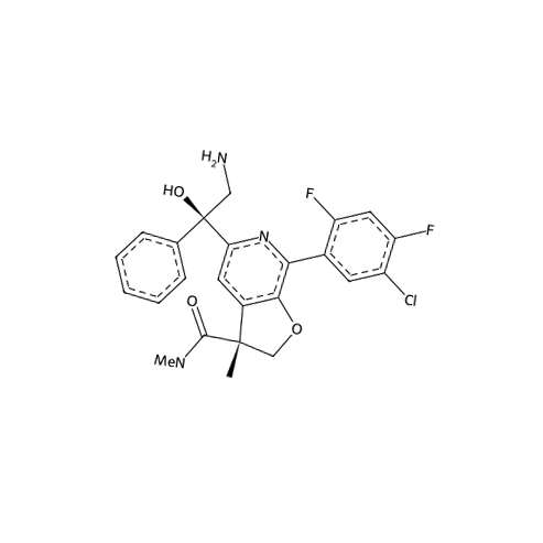 CNC(=O)[C@@]1(C)COc2c1cc([C@@](O)(CN)c1ccccc1)nc2-c1cc(Cl)c(F)cc1F